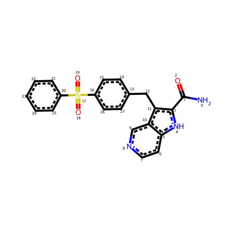 NC(=O)c1[nH]c2ccncc2c1Cc1ccc(S(=O)(=O)c2ccccc2)cc1